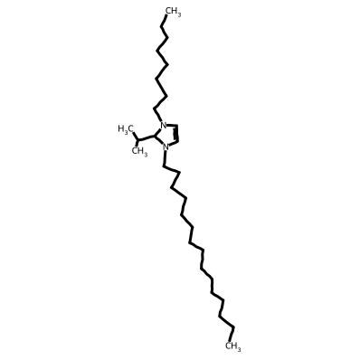 CCCCCCCCCCCCCCCN1C=CN(CCCCCCCC)C1C(C)C